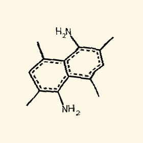 Cc1cc(C)c2c(N)c(C)cc(C)c2c1N